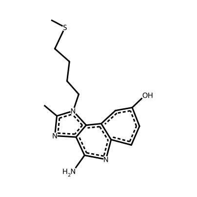 CSCCCCn1c(C)nc2c(N)nc3ccc(O)cc3c21